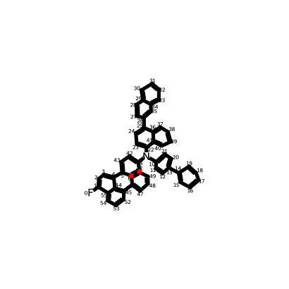 Fc1ccc(-c2ccc(N(c3ccc(-c4ccccc4)cc3)c3ccc(-c4ccc5ccccc5c4)c4ccccc34)cc2)c2c(-c3ccccc3)cccc12